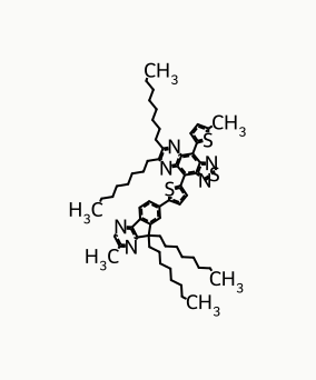 CCCCCCCCc1nc2c(-c3ccc(C)s3)c3nsnc3c(-c3ccc(-c4ccc5c(c4)C(CCCCCCCC)(CCCCCCCC)c4nc(C)cnc4-5)s3)c2nc1CCCCCCCC